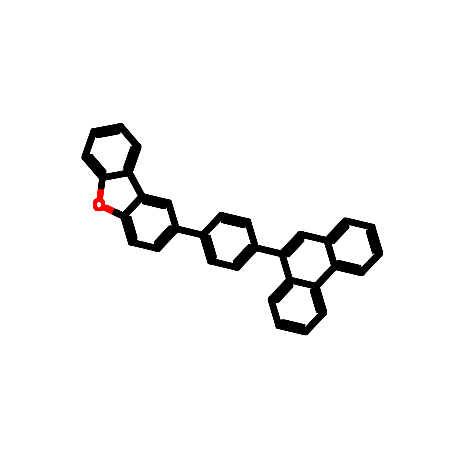 c1ccc2c(c1)cc(-c1ccc(-c3ccc4oc5ccccc5c4c3)cc1)c1ccccc12